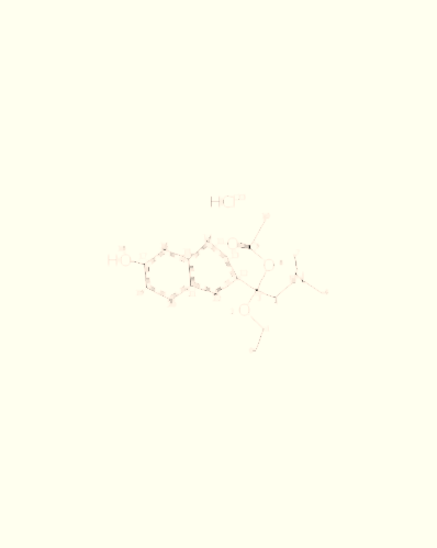 CCOC(CN(C)C)(OC(C)=O)c1ccc2cc(O)ccc2c1.Cl